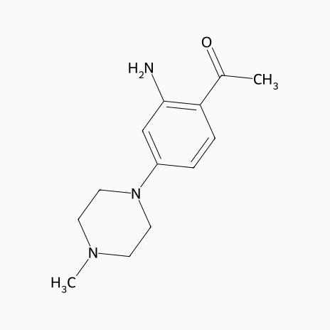 CC(=O)c1ccc(N2CCN(C)CC2)cc1N